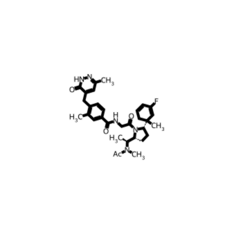 CC(=O)N(C)[C@@H](C)[C@H]1CC[C@@H](C2(C)C=C(F)C=CC2)N1C(=O)CNC(=O)c1ccc(Cc2cc(C)n[nH]c2=O)c(C)c1